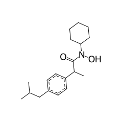 CC(C)Cc1ccc(C(C)C(=O)N(O)C2CCCCC2)cc1